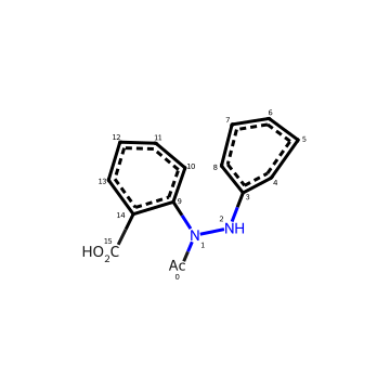 CC(=O)N(Nc1ccccc1)c1ccccc1C(=O)O